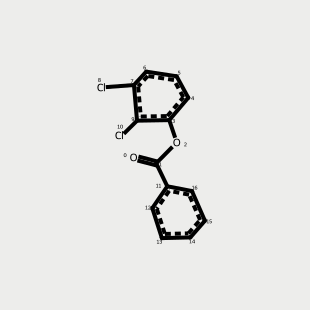 O=C(Oc1cccc(Cl)c1Cl)c1ccccc1